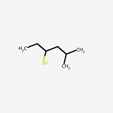 [CH2]CC(S)CC(C)C